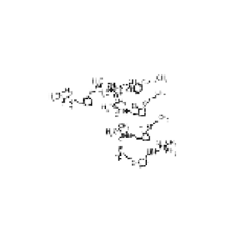 CCCCOc1cccc(C(C)(C)CNCC(=O)N(C)C)c1.CCCCOc1cccc(CCNCC(=O)N(C)C)c1Cl.CCCCOc1cccc(CCNCC(=O)N(C)C)c1F.CCCCSc1cccc(CCNCC(=O)N(C)C)c1.CN(C)C(=O)CNCCc1cccc(OCCCC(F)(F)F)c1